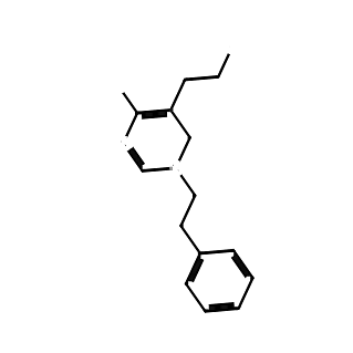 CC1=C(CCCl)CN(CCc2ccccc2)C=N1